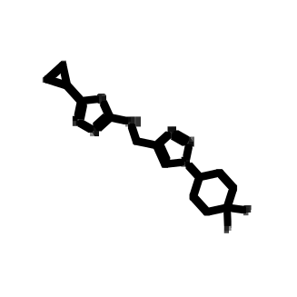 FC1(F)CCC(n2cc(CNc3nnc(C4CC4)o3)nn2)CC1